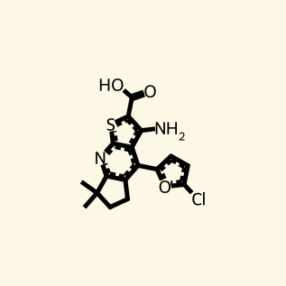 CC1(C)CCc2c1nc1sc(C(=O)O)c(N)c1c2-c1ccc(Cl)o1